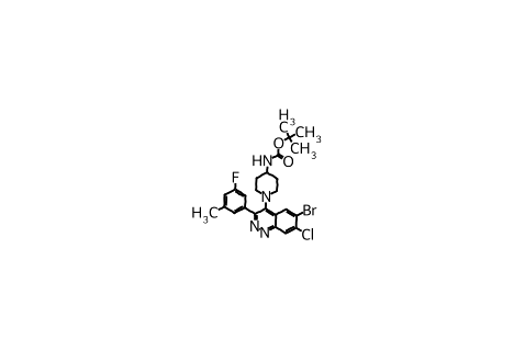 Cc1cc(F)cc(-c2nnc3cc(Cl)c(Br)cc3c2N2CCC(NC(=O)OC(C)(C)C)CC2)c1